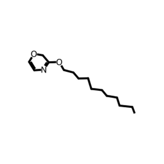 CCCCCCCCCCCOC1=NC=COC1